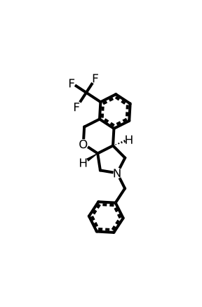 FC(F)(F)c1cccc2c1CO[C@H]1CN(Cc3ccccc3)C[C@H]21